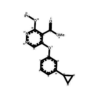 COC(=O)c1c(Oc2cccc(C3CC3)c2)cnnc1OC(C)C